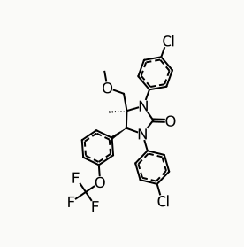 COC[C@]1(C)[C@H](c2cccc(OC(F)(F)F)c2)N(c2ccc(Cl)cc2)C(=O)N1c1ccc(Cl)cc1